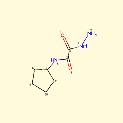 NNC(=O)C(=O)NC1CCCC1